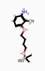 CC(C)(C)[Si](C)(C)OCCCCOc1cccc(N)c1C#N